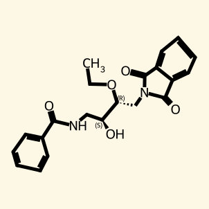 CCO[C@H](CN1C(=O)c2ccccc2C1=O)[C@@H](O)CNC(=O)c1ccccc1